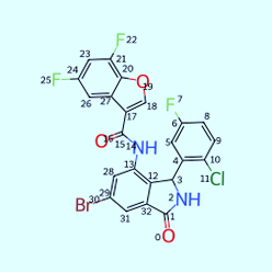 O=C1NC(c2cc(F)ccc2Cl)c2c(NC(=O)c3coc4c(F)cc(F)cc34)cc(Br)cc21